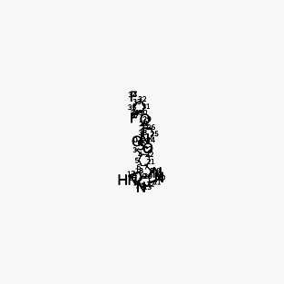 O=S(=O)(CC1CCC(c2nncc3cnc4[nH]ccc4c23)CC1)N1CCCC(COc2ccc(F)cc2F)C1